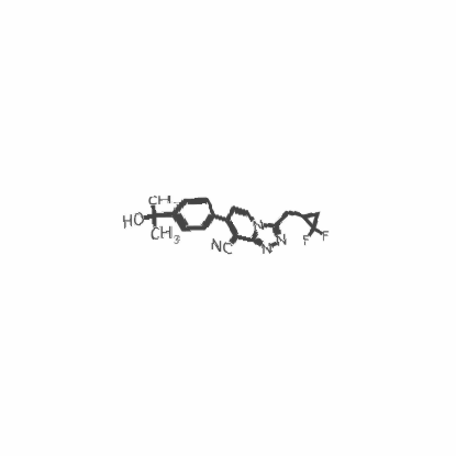 CC(C)(O)c1ccc(-c2ccn3c(CC4CC4(F)F)nnc3c2C#N)cc1